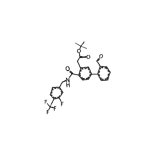 CC(C)(C)OC(=O)Cc1cc(-c2ccccc2C=O)ccc1C(=O)NCc1ccc(C(F)(F)F)c(F)c1